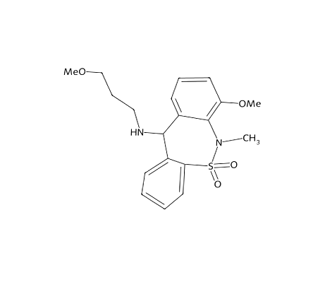 COCCCNC1c2ccccc2S(=O)(=O)N(C)c2c(OC)cccc21